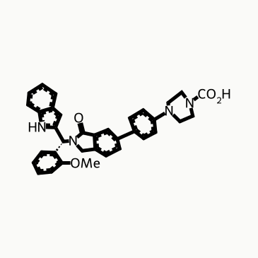 COc1ccccc1[C@H](c1cc2ccccc2[nH]1)N1Cc2ccc(-c3ccc(N4CCN(C(=O)O)CC4)cc3)cc2C1=O